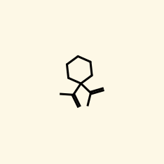 C=C(C)C1(C(=C)C)CCCCC1